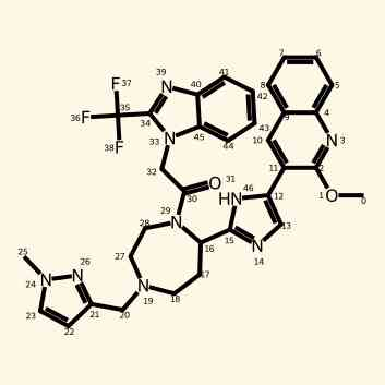 COc1nc2ccccc2cc1-c1cnc(C2CCN(Cc3ccn(C)n3)CCN2C(=O)Cn2c(C(F)(F)F)nc3ccccc32)[nH]1